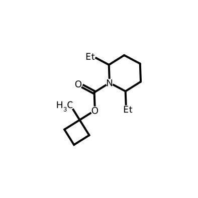 CCC1CCCC(CC)N1C(=O)OC1(C)CCC1